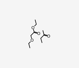 CCC(C)=O.CCOCC(=O)OCC